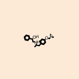 CC(Cc1ccc(OCN(C)C)cc1)NC[C@H](O)c1ccccc1